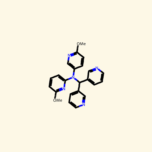 COc1ccc(N(c2cccc(OC)n2)C(c2cccnc2)c2cccnc2)cn1